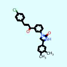 Cc1ccc(-c2cn(-c3cccc(C(=O)/C=C/c4ccc(Cl)cc4)c3)c(=O)[nH]2)cc1C